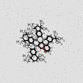 Cc1cc2c3c(c1)N(c1ccc(C(C)(C)C)cc1-c1ccccc1)c1cc4c(cc1B3c1cc3c(cc1N2c1cc2c(cc1C)C(C)(C)CCC2(C)C)C(C)(C)CCC3(C)C)C(C)(C)CC4(C)C